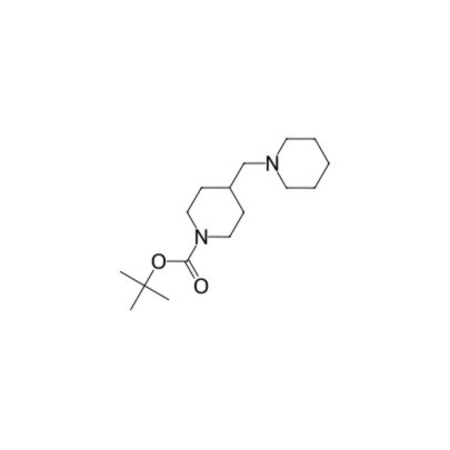 CC(C)(C)OC(=O)N1CCC(CN2CCCCC2)CC1